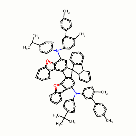 Cc1ccc(-c2cc(N(c3ccc(C(C)C)cc3)c3cc4c(c5c3oc3ccccc35)-c3c(cc(N(c5ccc(C(C)(C)C)cc5)c5ccc(C)c(-c6ccc(C)cc6)c5)c5c3oc3ccccc35)C43c4ccccc4C4C=CC=CC43)ccc2C)cc1